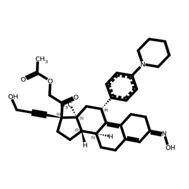 CC(=O)OCC(=O)[C@@]1(C#CCO)CC[C@H]2[C@@H]3CCC4=CC(=NO)CCC4=C3[C@@H](c3ccc(N4CCCCC4)cc3)C[C@@]21C